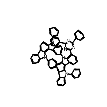 c1ccc(-c2nc(-c3ccccc3)nc(-c3cccc4c5c(ccc6c7ccccc7n(-c7ccccc7)c65)n(-c5ccc6c(c5)c5c(ccc7c8ccccc8n(-c8ccccc8)c75)n6-c5ccccc5)c34)n2)cc1